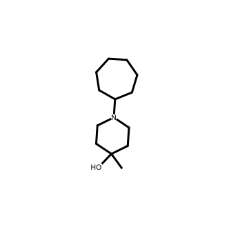 CC1(O)CCN(C2CCCCCC2)CC1